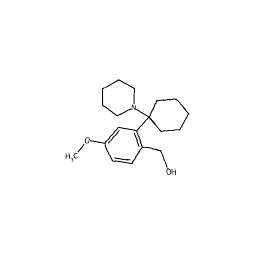 COc1ccc(CO)c(C2(N3CCCCC3)CCCCC2)c1